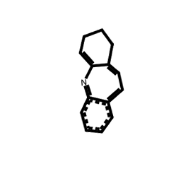 C1=C2CCCC=C2N=c2ccccc2=C1